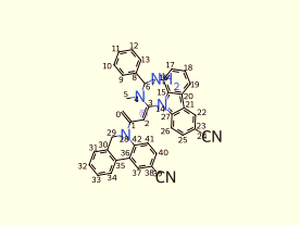 C=C(/C=C(\N(C)C(N)c1ccccc1)n1c2ccccc2c2cc(C#N)ccc21)N1Cc2ccccc2-c2cc(C#N)ccc21